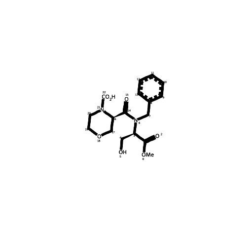 COC(=O)[C@@H](CO)N(Cc1ccccc1)C(=O)[C@H]1COCCN1C(=O)O